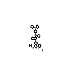 CC1(C)c2ccccc2-c2cc(-c3cc4c5ccccc5c(-c5ccc(N(c6ccccc6)c6ccccc6)cc5)cc4c4ccccc34)ccc21